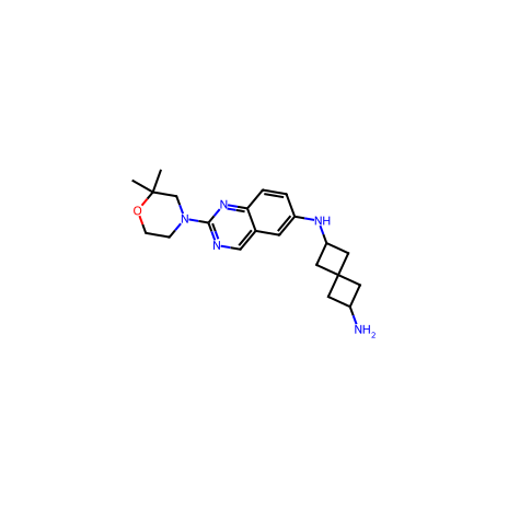 CC1(C)CN(c2ncc3cc(NC4CC5(CC(N)C5)C4)ccc3n2)CCO1